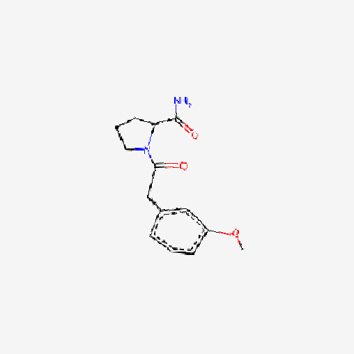 COc1cccc(CC(=O)N2CCCC2C(N)=O)c1